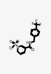 O=C(NCc1ccc(C(F)(F)F)cc1)C1=CN(S(=O)(=O)Cl)CC=C1